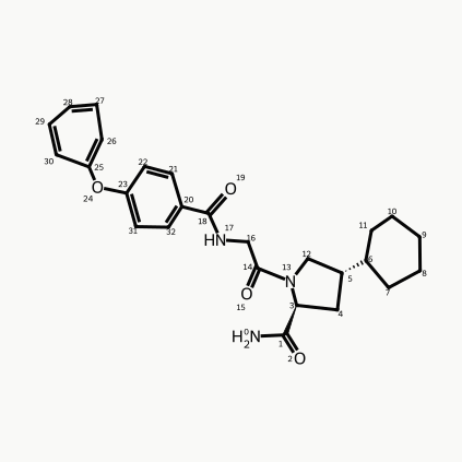 NC(=O)[C@@H]1C[C@@H](C2CCCCC2)CN1C(=O)CNC(=O)c1ccc(Oc2ccccc2)cc1